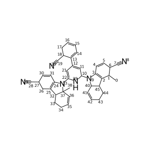 CC1C2=C(C=CC1C#N)N(C1C=C(C3=CC=CCC3C#N)C=C(N3C4=C(CC(C#N)C=C4)C4CCC=CC43C)N1)C1C=CCCC21